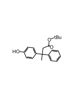 CC(C)(C)OC(=O)CC(C)(c1ccccc1)c1ccc(O)cc1